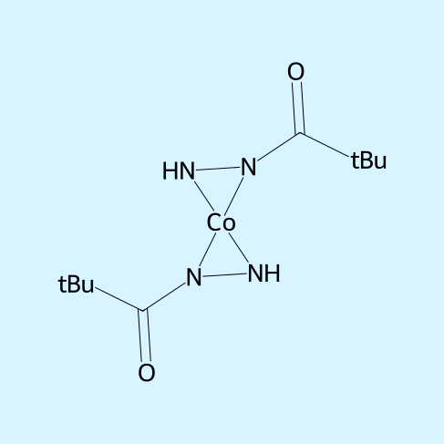 CC(C)(C)C(=O)[N]1[NH][Co]12[NH][N]2C(=O)C(C)(C)C